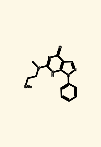 CSCCN(C)c1nc(=O)c2cnn(-c3ccccc3)c2[nH]1